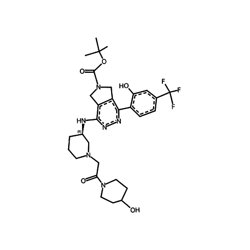 CC(C)(C)OC(=O)N1Cc2c(N[C@@H]3CCCN(CC(=O)N4CCC(O)CC4)C3)nnc(-c3ccc(C(F)(F)F)cc3O)c2C1